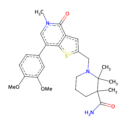 COc1ccc(-c2cn(C)c(=O)c3cc(CN4CCCC(C)(C(N)=O)C4(C)C)sc23)cc1OC